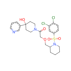 O=C(COCC1CCCCN1S(=O)(=O)c1ccc(Cl)c(Cl)c1)N1CCC(O)(c2cccnc2)CC1